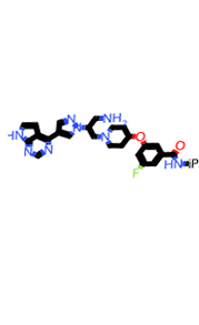 CC(C)NC(=O)c1cc(F)cc(OC2CCN(CC(CN)n3cc(-c4ncnc5[nH]ccc45)cn3)CC2)c1